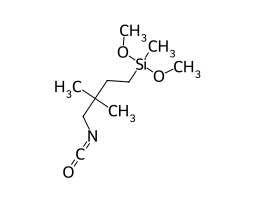 CO[Si](C)(CCC(C)(C)CN=C=O)OC